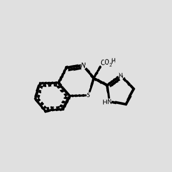 O=C(O)C1(C2=NCCN2)N=Cc2ccccc2S1